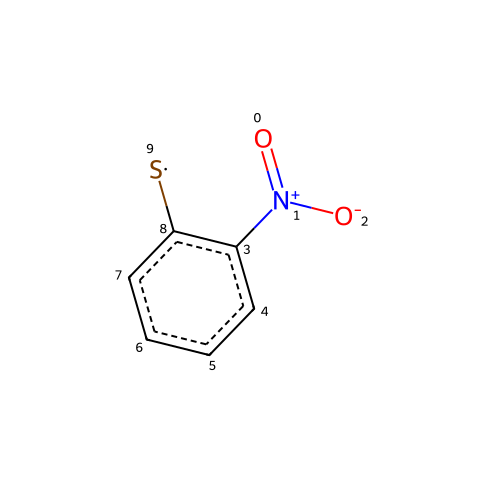 O=[N+]([O-])c1ccccc1[S]